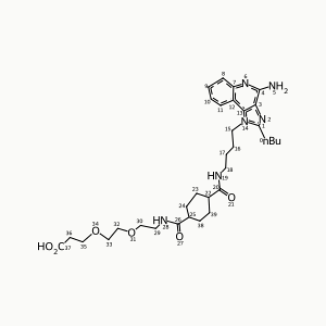 CCCCc1nc2c(N)nc3ccccc3c2n1CCCCNC(=O)C1CCC(C(=O)NCCOCCOCCC(=O)O)CC1